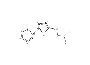 CC(C)CNc1nnc(-c2ccccc2)s1